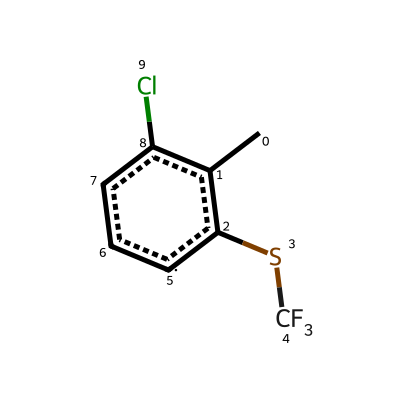 Cc1c(SC(F)(F)F)[c]ccc1Cl